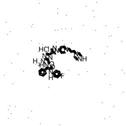 Cl.Nc1ncc(-c2cnn(C3CCN(CCCN4CCNCC4)CC3)c2)nc1C(=O)N[C@@H](C(=O)Nc1ccc(F)cc1)c1ccccc1